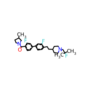 CC1CCN(C(=O)c2ccc(-c3ccc(CCC4CCN(CC(C)(C)F)CC4)c(F)c3)cc2F)C1